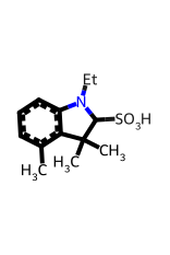 CCN1c2cccc(C)c2C(C)(C)C1S(=O)(=O)O